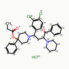 CCC(=O)OC1(c2ccccc2)CCN(C(CC(C(=O)c2ccccc2)N2CCCCC2)c2ccc(Cl)c(Cl)c2)CC1.Cl